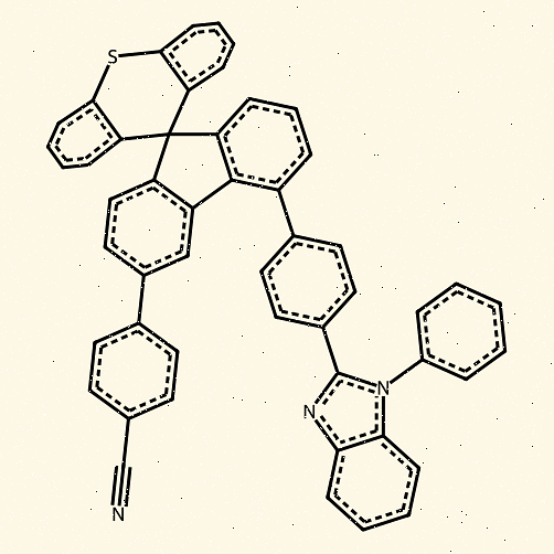 N#Cc1ccc(-c2ccc3c(c2)-c2c(-c4ccc(-c5nc6ccccc6n5-c5ccccc5)cc4)cccc2C32c3ccccc3Sc3ccccc32)cc1